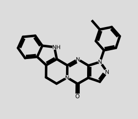 Cc1cccc(-n2ncc3c(=O)n4c(nc32)-c2[nH]c3ccccc3c2CC4)c1